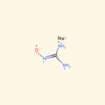 NC(N)=N[O-].[Na+]